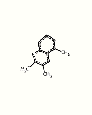 Cc1cc2c(C)cccc2nc1C